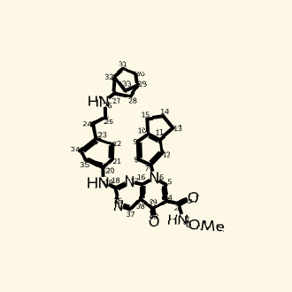 CONC(=O)c1cn(-c2ccc3c(c2)CCC3)c2nc(Nc3ccc(CCNC4CC5CCC4C5)cc3)ncc2c1=O